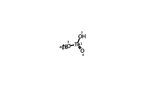 O=[Te](O)O.[Co]